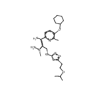 Cc1nc(/C(N)=C(\CNc2noc(CCOC(C)C)n2)N(C)N)ccc1OC1CCCCC1